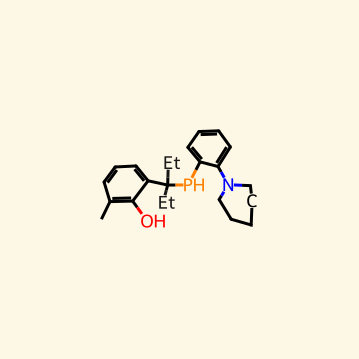 CCC(CC)(Pc1ccccc1N1CCCCC1)c1cccc(C)c1O